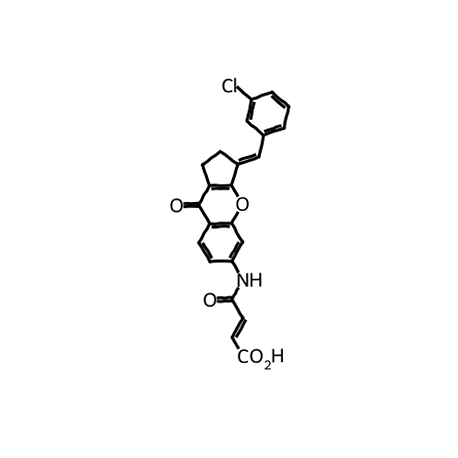 O=C(O)C=CC(=O)Nc1ccc2c(=O)c3c(oc2c1)C(=Cc1cccc(Cl)c1)CC3